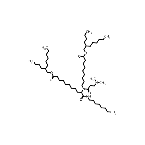 CCCCCCCCNC(=O)C(CCCCCCCCC(=O)OCC(CCCC)CCCCCC)N(CCCCCCCCC(=O)OCC(CCCC)CCCCCC)C(=O)CCN(C)C